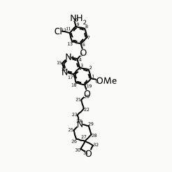 COc1cc2c(Oc3ccc(N)c(Cl)c3)ncnc2cc1OCCCN1CCC2(CC1)COC2